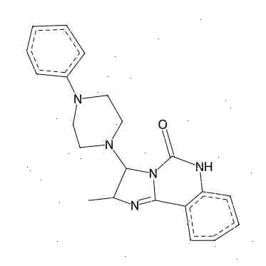 CC1N=C2c3ccccc3NC(=O)N2C1N1CCN(c2ccccc2)CC1